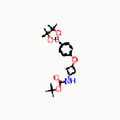 CC(C)(C)OC(=O)N[C@H]1C[C@@H](Oc2ccc(B3OC(C)(C)C(C)(C)O3)cc2)C1